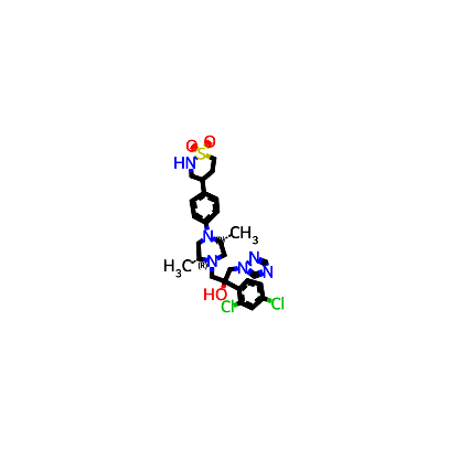 C[C@@H]1CN(c2ccc(C3CCS(=O)(=O)NC3)cc2)[C@H](C)CN1CC(O)(Cn1cncn1)c1ccc(Cl)cc1Cl